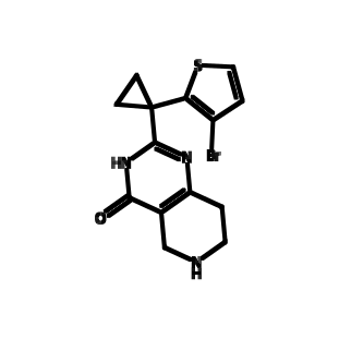 O=c1[nH]c(C2(c3sccc3Br)CC2)nc2c1CNCC2